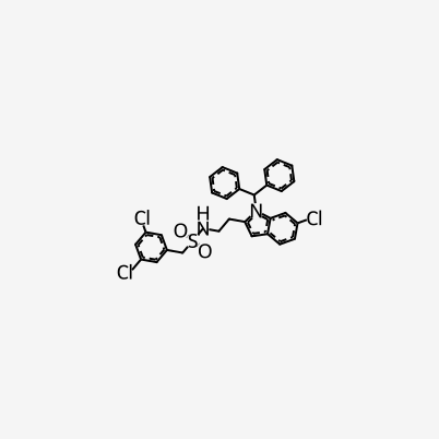 O=S(=O)(Cc1cc(Cl)cc(Cl)c1)NCCc1cc2ccc(Cl)cc2n1C(c1ccccc1)c1ccccc1